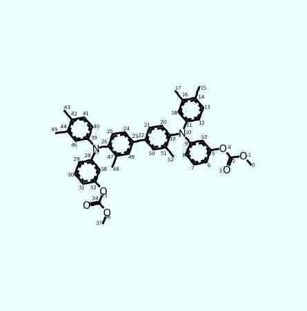 COC(=O)Oc1cccc(N(c2ccc(C)c(C)c2)c2ccc(-c3ccc(N(c4cccc(OC(=O)OC)c4)c4ccc(C)c(C)c4)c(C)c3)cc2C)c1